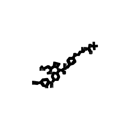 CN/C=C(\OC)C1=CC[C@H]1N(C(=O)NCc1ccc(OCCCNC(=O)OC(C)(C)C)cc1)C1CCC(Nc2ccc(C#N)cn2)CC1